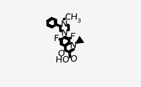 CCN1CCN(c2c(F)cc3c(=O)c(C(=O)O)cn(C4CC4)c3c2F)CC1c1ccccc1